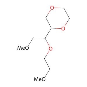 COCCOC(COC)C1COCCO1